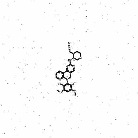 COc1cc(OC)c(Cl)c(N2Cc3cnc(N[C@@H]4COCCC4N=[N+]=[N-])nc3-c3cccnc32)c1Cl